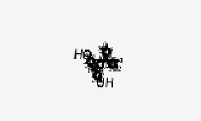 Cc1ccc(N(c2ccc(C(C)(c3ccc(O)cc3)c3ccc(O)cc3)cc2)c2ccc(C)c(C)c2)cc1C